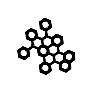 c1ccc(N2B3c4c(cc5c6c4-c4c(cccc4N3c3ccccc3)N(c3ccccc3)B6c3ccccc3N5c3ccccc3)-c3ccccc32)cc1